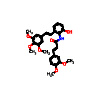 COc1ccc(/C=C/C(=O)Nc2c(O)cccc2/C=C/c2cc(OC)c(OC)c(OC)c2)cc1OC